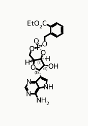 CCOC(=O)c1ccccc1COP1(=O)OC[C@H]2O[C@@H](c3c[nH]c4c(N)ncnc34)[C@H](O)[C@@H]2O1